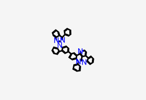 c1ccc(-c2nc(-n3c4ccccc4c4cc(-c5ccc6c(c5)-c5nccc7c5c(nc5ccccc57)N6c5ccccc5)ccc43)nc3ccccc23)cc1